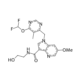 COc1cnc2c(C(=O)NCCO)cn(Cc3ncnc(OC(F)F)c3C)c2c1